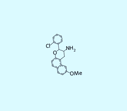 COc1ccc2ccc3c(c2c1)CC(N)C(c1ccccc1Cl)O3